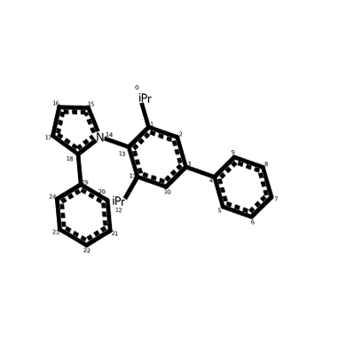 CC(C)c1cc(-c2ccccc2)cc(C(C)C)c1-n1cccc1-c1ccccc1